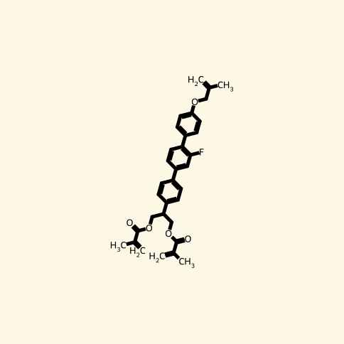 C=C(C)COc1ccc(-c2ccc(-c3ccc(C(COC(=O)C(=C)C)COC(=O)C(=C)C)cc3)cc2F)cc1